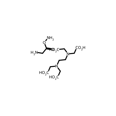 NCC(=O)ON.O=C(O)CN(CCN(CC(=O)O)CC(=O)O)CC(=O)O